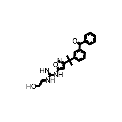 CC(C)(c1cccc(C(=O)c2ccccc2)c1)c1cc(NC(=N)NCCO)on1